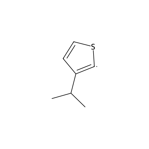 CC(C)c1[c]scc1